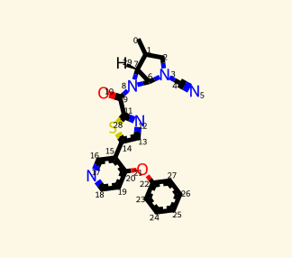 CC1CN(C#N)C2[C@@H]1N2C(=O)c1ncc(-c2cnccc2Oc2ccccc2)s1